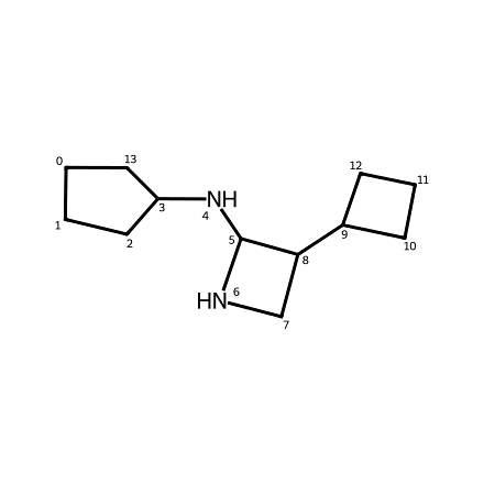 C1CCC(NC2NCC2C2CCC2)C1